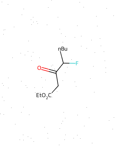 CCCCC(F)C(=O)CC(=O)OCC